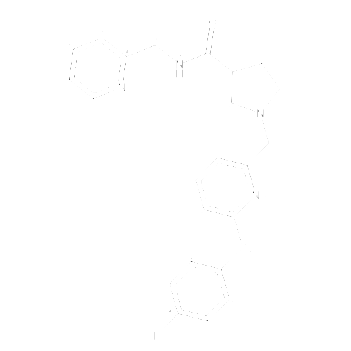 O=C(NCc1ccccn1)C1CCN(Cc2cccc(Oc3ccc(F)cc3)n2)C1